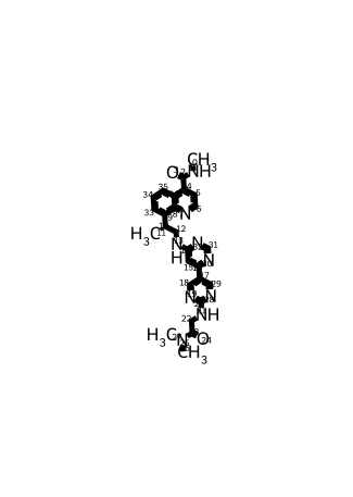 CNC(=O)c1ccnc2c([C@H](C)CNc3cc(-c4cnc(NCC(=O)N(C)C)nc4)ncn3)cccc12